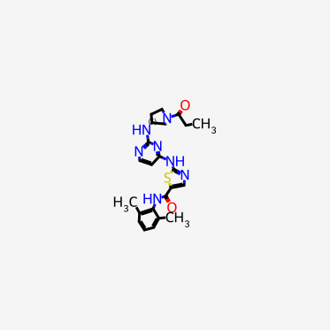 CCC(=O)N1CC[C@H](Nc2nccc(Nc3ncc(C(=O)Nc4c(C)cccc4C)s3)n2)C1